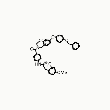 COc1ccc(CC(=O)Nc2ccc(C(=O)N(CC(=O)O)Cc3ccc(Oc4ccc(OCc5ccccc5)cc4)cc3)cc2)c(C(F)(F)F)c1